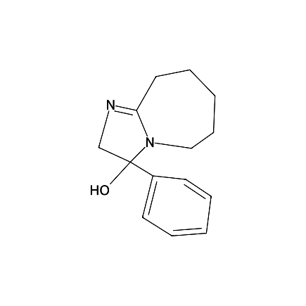 OC1(c2ccccc2)CN=C2CCCCCN21